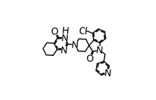 O=C1N(Cc2cccnc2)c2cccc(Cl)c2C12CCN(c1nc3c(c(=O)[nH]1)CCCC3)CC2